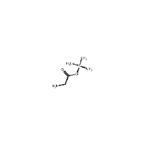 C[Si](C)(C)OC(=O)CN